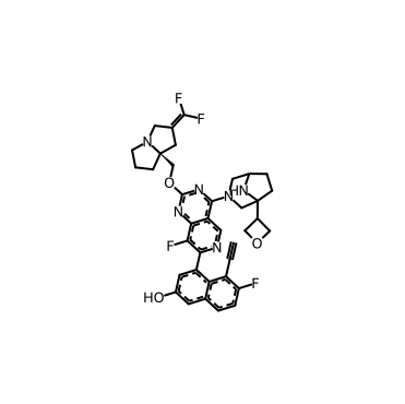 C#Cc1c(F)ccc2cc(O)cc(-c3ncc4c(N5CC6CCC(C7COC7)(C5)N6)nc(OC[C@@]56CCCN5CC(=C(F)F)C6)nc4c3F)c12